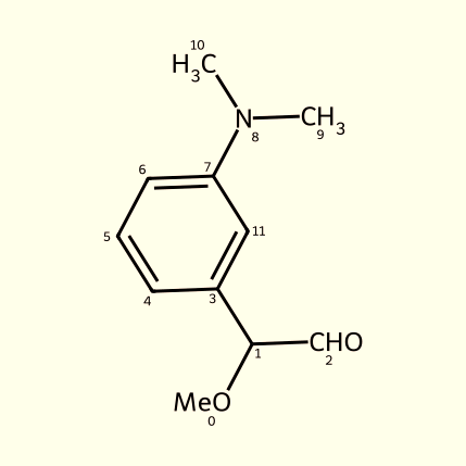 COC(C=O)c1cccc(N(C)C)c1